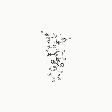 COCC1(C)Nc2c(cnc3c2ccn3S(=O)(=O)c2ccccc2)N=C1SC